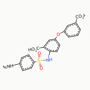 CC(=O)Nc1ccc(S(=O)(=O)Nc2ccc(Oc3cccc(C(=O)O)c3)cc2C(=O)O)cc1